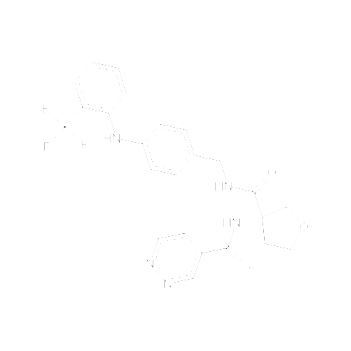 O=C(N[C@@]1(C(=O)NCc2ccc(Nc3ccccc3C(F)(F)F)cc2)CCOC1)c1ccnnc1